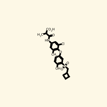 Cc1cc(NC(=O)C(C)C(=O)O)cc(Cl)c1Oc1ccc(O)c(S(=O)(=O)CC2CCC2)c1